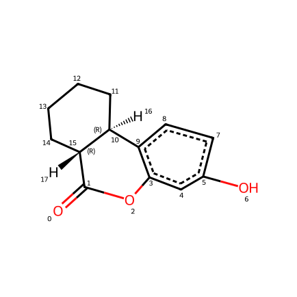 O=C1Oc2cc(O)ccc2[C@@H]2CCCC[C@@H]12